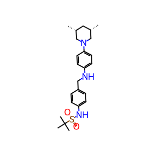 C[C@@H]1C[C@H](C)CN(c2ccc(NCc3ccc(NS(=O)(=O)C(C)(C)C)cc3)cc2)C1